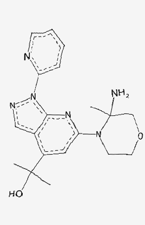 CC(C)(O)c1cc(N2CCOCC2(C)N)nc2c1cnn2-c1ccccn1